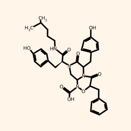 CC(C)CCCNC(=O)[C@H](Cc1ccc(O)cc1)N1CC2N(C(=O)O)OC(Cc3ccccc3)C(=O)N2C(Cc2ccc(O)cc2)C1=O